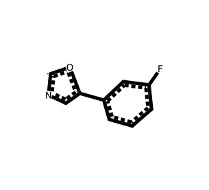 Fc1cccc(-c2cn[c]o2)c1